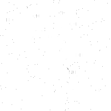 CCCC(=O)OC(C)CC(c1ccc(OC(=O)C(C)CC)c(OC(=O)C(C)CC)c1)[C@H](N)C(=O)O